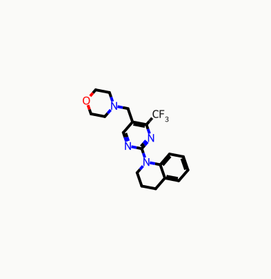 FC(F)(F)c1nc(N2CCCc3ccccc32)ncc1CN1CCOCC1